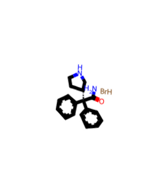 Br.NC(=O)C(c1ccccc1)(c1ccccc1)[C@@H]1CCNC1